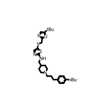 CCC[CH]c1ccc(CCCN2CCC(CNc3ncc(SCc4ncc(C(C)(C)C)o4)s3)CC2)cc1